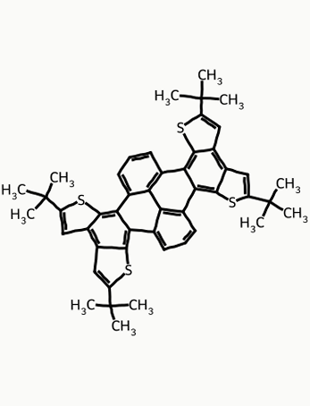 CC(C)(C)c1cc2c3cc(C(C)(C)C)sc3c3c4cccc5c4c4c(cccc4c4c6sc(C(C)(C)C)cc6c6cc(C(C)(C)C)sc6c54)c3c2s1